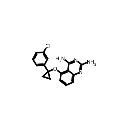 Nc1nc(N)c2c(OC3(c4cccc(Cl)c4)CC3)cccc2n1